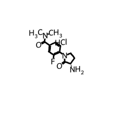 CN(C)C(=O)c1ccc(N2CC[C@H](N)C2=O)c(F)c1.Cl